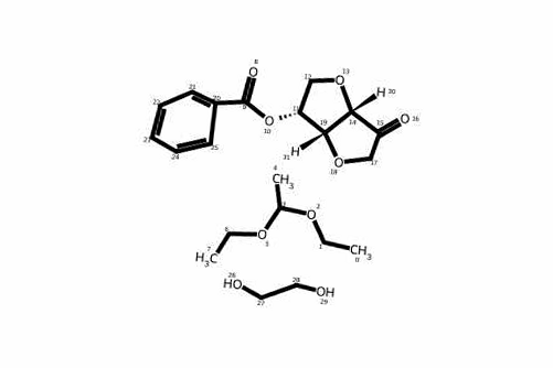 CCOC(C)OCC.O=C(O[C@@H]1CO[C@@H]2C(=O)CO[C@@H]21)c1ccccc1.OCCO